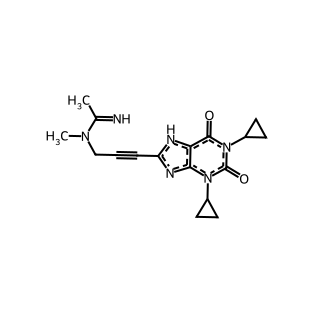 CC(=N)N(C)CC#Cc1nc2c([nH]1)c(=O)n(C1CC1)c(=O)n2C1CC1